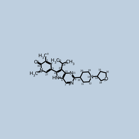 Cc1cc(-c2[nH]c3cnc(C4CCN(C5CCOC5)CC4)nc3c2C(C)C)cn(C)c1=O